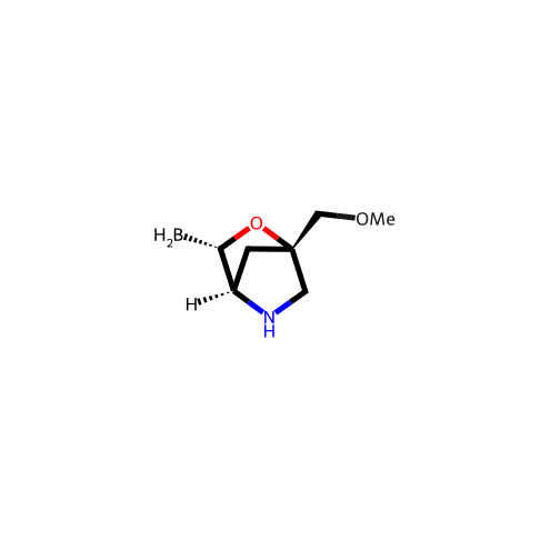 B[C@@H]1O[C@]2(COC)CN[C@@H]1C2